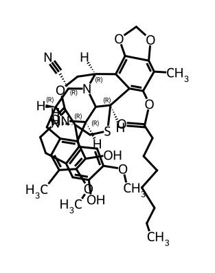 CCCCCCCC(=O)Oc1c(C)c2c(c3c1[C@H]1SC[C@]4(NCCc5cc(O)c(OC)cc54)C(=O)OC[C@@H]3N3C1[C@@H]1N[C@H](Cc4cc(C)c(OC)c(O)c41)[C@@H]3C#N)OCO2